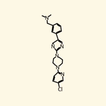 CN(C)Cc1cccc(-c2cnc(N3CCN(c4ccc(Cl)cn4)CC3)nc2)c1